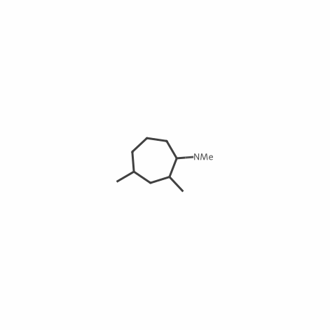 CNC1CCCC(C)CC1C